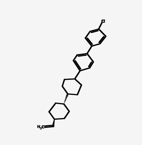 C=C[C@H]1CC[C@H](C2CCC(c3ccc(-c4ccc(Cl)cc4)cc3)CC2)CC1